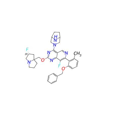 Cc1cccc(OCc2ccccc2)c1-c1ncc2c(N3CC4CCC(C3)N4)nc(OCC34CCCN3C[C@H](F)C4)nc2c1F